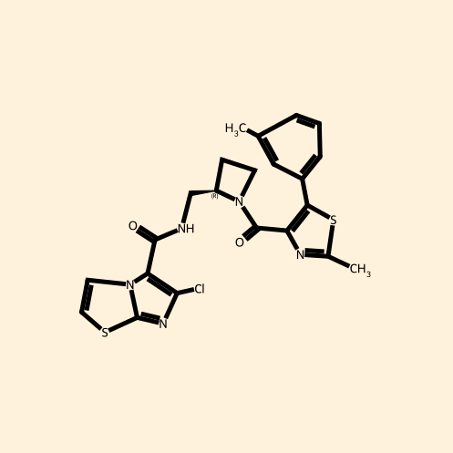 Cc1cccc(-c2sc(C)nc2C(=O)N2CC[C@@H]2CNC(=O)c2c(Cl)nc3sccn23)c1